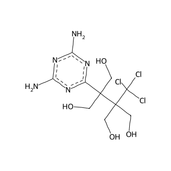 Nc1nc(N)nc(C(CO)(CO)C(CO)(CO)C(Cl)(Cl)Cl)n1